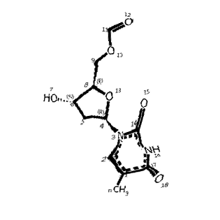 Cc1cn([C@H]2C[C@H](O)[C@@H](COC=O)O2)c(=O)[nH]c1=O